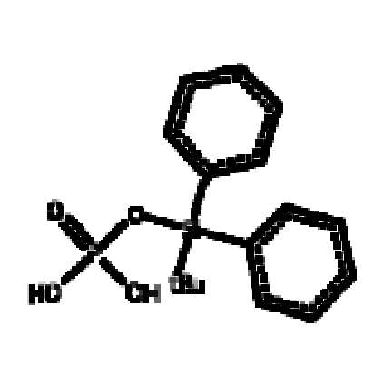 CC(C)(C)[Si](OP(=O)(O)O)(c1ccccc1)c1ccccc1